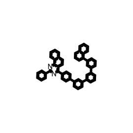 c1ccc(-c2nc(-c3ccc(-c4cccc(-c5cccc(-c6cccc(-c7cccc8ccccc78)c6)c5)c4)cc3)c3ccc4ccccc4c3n2)cc1